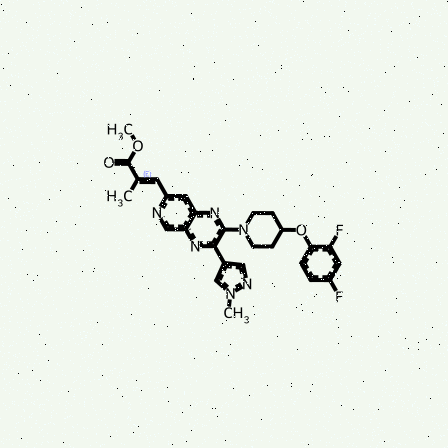 COC(=O)/C(C)=C/c1cc2nc(N3CCC(Oc4ccc(F)cc4F)CC3)c(-c3cnn(C)c3)nc2cn1